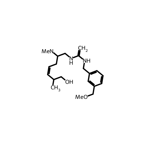 C=C(NCc1cccc(COC)c1)NCC(C/C=C\C(C)CO)NC